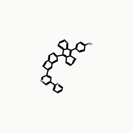 CC(C)(C)c1ccc(-c2c3ccccc3c(-c3ccc4ccc(-c5cncc(-c6ccccn6)c5)cc4c3)c3ccccc23)cc1